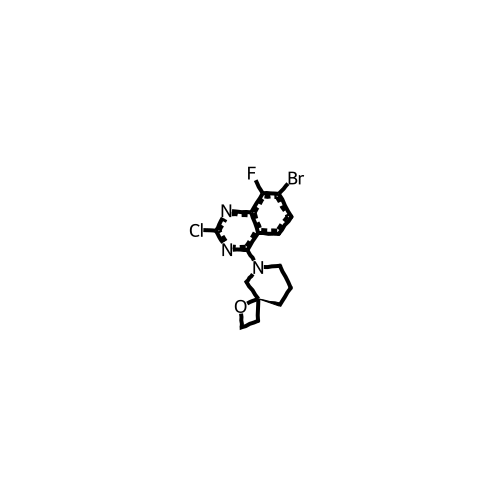 Fc1c(Br)ccc2c(N3CCC[C@]4(CCO4)C3)nc(Cl)nc12